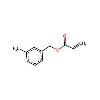 C=CC(=O)OCc1cccc(C(F)(F)F)c1